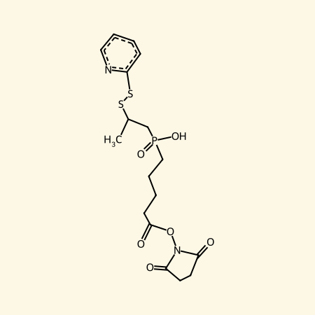 CC(CP(=O)(O)CCCCC(=O)ON1C(=O)CCC1=O)SSc1ccccn1